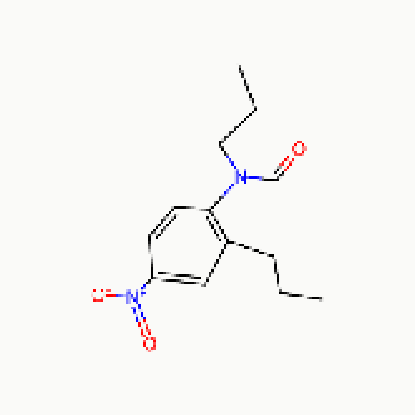 CCCc1cc([N+](=O)[O-])ccc1N(C=O)CCC